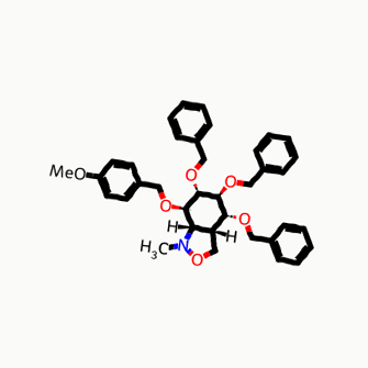 COc1ccc(CO[C@H]2[C@H](OCc3ccccc3)[C@@H](OCc3ccccc3)[C@H](OCc3ccccc3)[C@@H]3CON(C)[C@@H]32)cc1